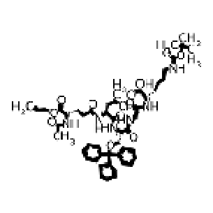 C=CCOC(=O)[C@H](CCC(=O)N[C@@H](CC(C)C)C(=O)N[C@@H](COC(c1ccccc1)(c1ccccc1)c1ccccc1)C(=O)NCC(=O)N[C@@H](CCCCNC(=O)OC(C)(C)C)C(=O)O)NC(C)=O